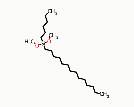 CCCCCCCCCCCCCC[Si](CCCCCC)(OC)OC